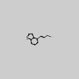 [CH2]CC=Cc1cccc2sccc12